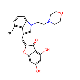 N#Cc1cccc2c1c(/C=C1/Oc3cc(O)cc(O)c3C1=O)cn2CCN1CCOCC1